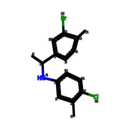 Cc1cc(NC(C)c2ccc(C)c(Br)c2)ccc1Cl